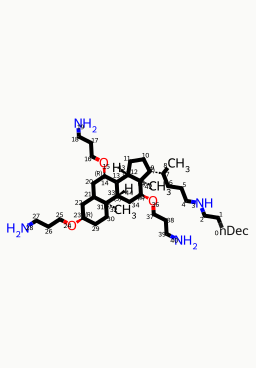 CCCCCCCCCCCCNCCCC(C)[C@H]1CC[C@H]2C3[C@H](OCCCN)CC4C[C@H](OCCCN)CC[C@]4(C)[C@H]3C[C@H](OCCCN)[C@]12C